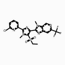 CCS(=O)(=O)c1c(-c2nc3cc(C(F)(F)F)ncc3n2C)nc(-c2cccc(Cl)n2)n1C